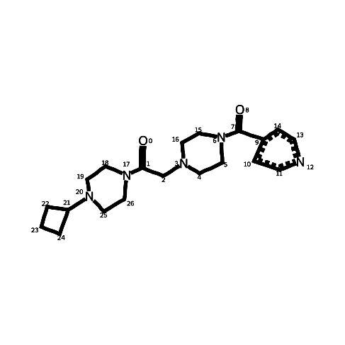 O=C(CN1CCN(C(=O)c2ccncc2)CC1)N1CCN(C2CCC2)CC1